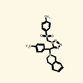 Cc1ccc(S(=O)(=O)Cn2nnnc2C(c2ccc(C(F)(F)F)cc2)N2CCc3ccccc3C2)cc1